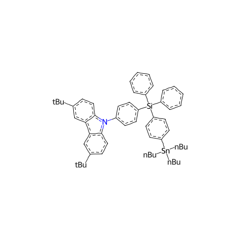 CCC[CH2][Sn]([CH2]CCC)([CH2]CCC)[c]1ccc([Si](c2ccccc2)(c2ccccc2)c2ccc(-n3c4ccc(C(C)(C)C)cc4c4cc(C(C)(C)C)ccc43)cc2)cc1